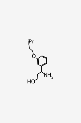 CC(C)CCOc1cccc(C(N)CCO)c1